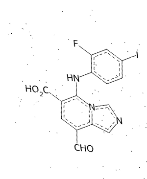 O=Cc1cc(C(=O)O)c(Nc2ccc(I)cc2F)n2cncc12